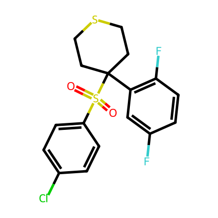 O=S(=O)(c1ccc(Cl)cc1)C1(c2cc(F)ccc2F)CCSCC1